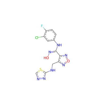 ON=C(Nc1ccc(F)c(Cl)c1)c1nonc1CNc1nncs1